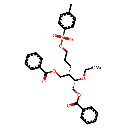 COCO[C@H](COC(=O)c1ccccc1)[C@@H](CCCOS(=O)(=O)c1ccc(C)cc1)COC(=O)c1ccccc1